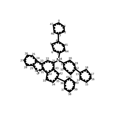 c1ccc(-c2ccc(N(c3ccc(-c4ccccc4)cc3)c3cc4c5ccccc5sc4c4ccc(-c5ccccc5)cc34)cc2)cc1